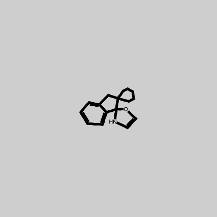 C1=COC2(N1)c1ccccc1CC21CCCCC1